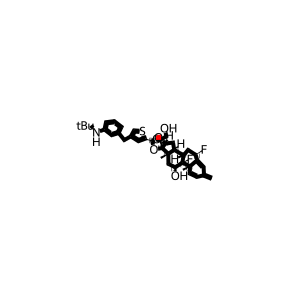 C=C1C=C[C@@]2(C)C(=C1)[C@@H](F)C[C@H]1[C@@H]3C[C@H]4O[C@@H](c5cc(Cc6cccc(NC(C)(C)C)c6)cs5)O[C@@]4(C(=O)CO)[C@@]3(C)C[C@H](O)[C@@]12F